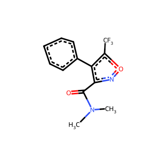 CN(C)C(=O)c1noc(C(F)(F)F)c1-c1ccccc1